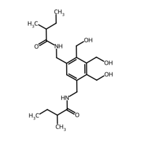 CCC(C)C(=O)NCc1cc(CNC(=O)C(C)CC)c(CO)c(CO)c1CO